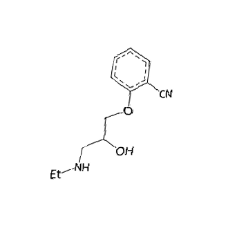 CCNCC(O)COc1ccccc1C#N